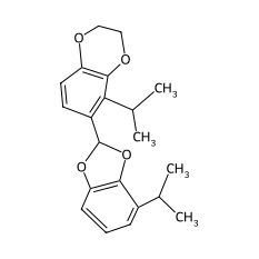 CC(C)c1cccc2c1OC(c1ccc3c(c1C(C)C)OCCO3)O2